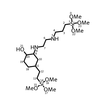 CO[Si](CCCNCCNC1CC(CC[Si](OC)(OC)OC)CCC1O)(OC)OC